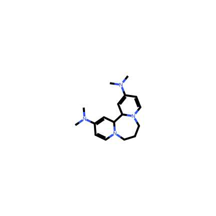 CN(C)C1=CC2C3C=C(N(C)C)C=CN3CCCN2C=C1